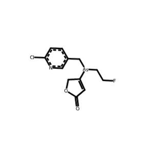 O=C1C=C([As](CCF)Cc2ccc(Cl)nc2)CO1